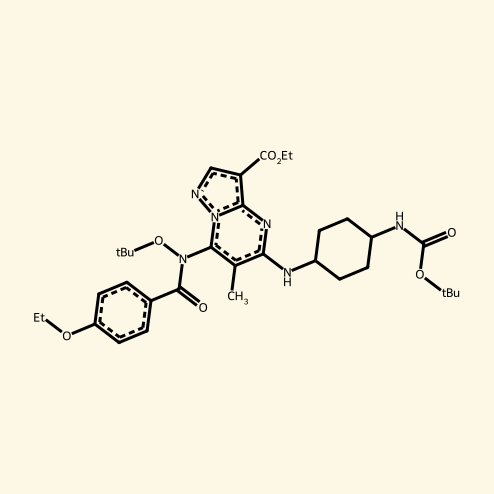 CCOC(=O)c1cnn2c(N(OC(C)(C)C)C(=O)c3ccc(OCC)cc3)c(C)c(NC3CCC(NC(=O)OC(C)(C)C)CC3)nc12